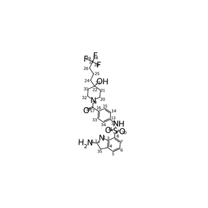 NC1=Nc2c(cccc2S(=O)(=O)Nc2ccc(C(=O)N3CCC(O)(CCCC(F)(F)F)CC3)cc2)C1